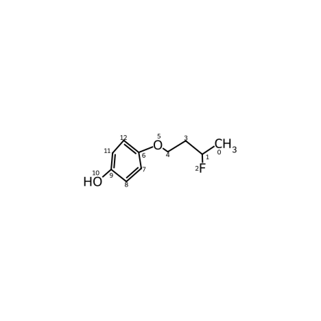 CC(F)CCOc1ccc(O)cc1